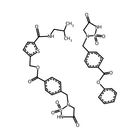 CC(C)CNC(=O)c1ccc(COC(=O)c2ccc(CN3CC(=O)NS3(=O)=O)cc2)s1.O=C1CN(Cc2ccc(C(=O)Oc3ccccc3)cc2)S(=O)(=O)N1